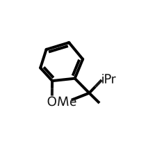 COc1ccccc1C(C)(C)C(C)C